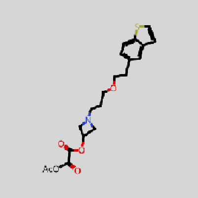 CC(=O)OC(=O)C(=O)OC1CN(CCCOCCc2ccc3sccc3c2)C1